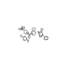 CCN[C@@H]1CCN(C(=O)N2CC[C@@H](Cn3cnc(-c4ccccc4)cc3=O)C3(CCCC3)C2)[C@H](c2cc(F)ccc2F)C1